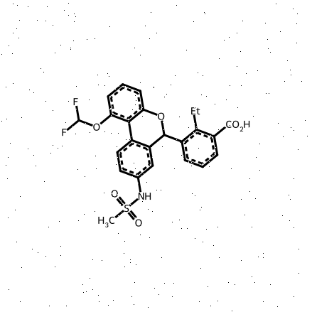 CCc1c(C(=O)O)cccc1C1Oc2cccc(OC(F)F)c2-c2ccc(NS(C)(=O)=O)cc21